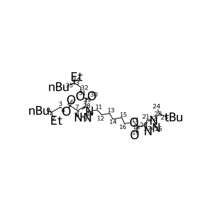 CCCCC(CC)COC(=O)c1nnn(CCCCCCOC(=O)c2cn(C(C)C(C)(C)C)nn2)c1C(=O)OCC(CC)CCCC